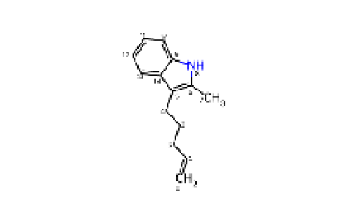 C=CCCCc1c(C)[nH]c2ccccc12